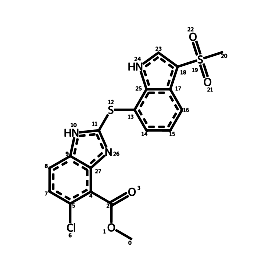 COC(=O)c1c(Cl)ccc2[nH]c(Sc3cccc4c(S(C)(=O)=O)c[nH]c34)nc12